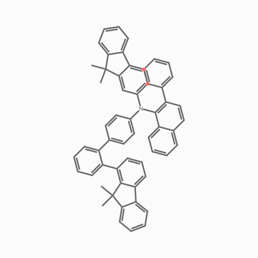 CC1(C)c2ccccc2-c2ccc(N(c3ccc(-c4ccccc4-c4cccc5c4C(C)(C)c4ccccc4-5)cc3)c3c(-c4ccccc4)ccc4ccccc34)cc21